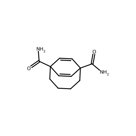 NC(=O)C12C=CC(C(N)=O)(C=C1)CCCC2